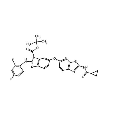 CC(C)(C)OC(=O)n1c(Nc2ccc(F)cc2F)nc2ccc(Oc3ccc4nc(NC(=O)C5CC5)sc4n3)cc21